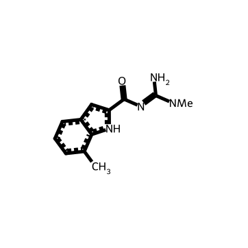 CNC(N)=NC(=O)c1cc2cccc(C)c2[nH]1